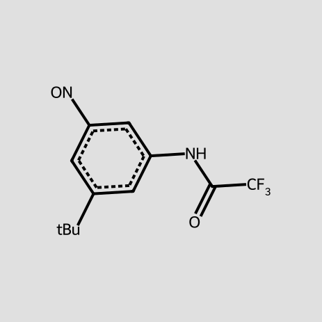 CC(C)(C)c1cc(N=O)cc(NC(=O)C(F)(F)F)c1